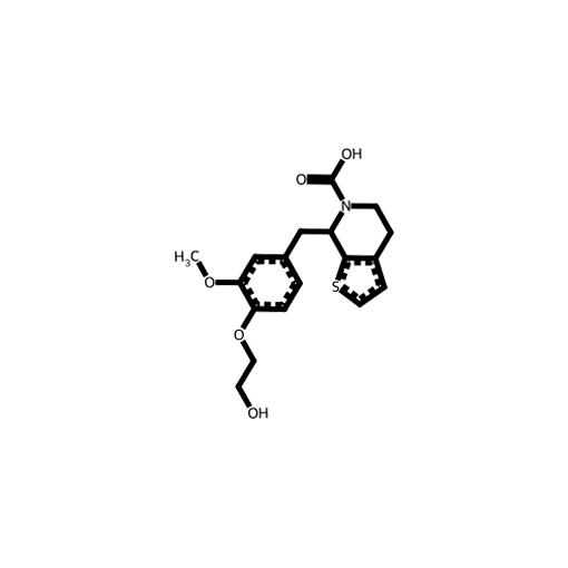 COc1cc(CC2c3sccc3CCN2C(=O)O)ccc1OCCO